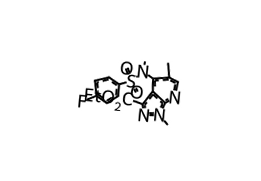 CCOC(=O)c1nn(C)c2ncc(C)c(N(C)S(=O)(=O)c3ccc(F)cc3)c12